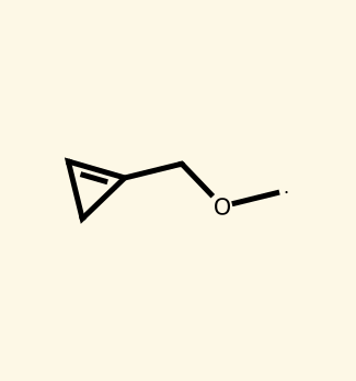 [CH2]OCC1=CC1